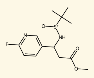 COC(=O)CC(N[S+]([O-])C(C)(C)C)c1ccc(F)nc1